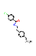 O=C(O)Cc1ccc(CCNC(=O)c2ccc(Cl)cc2)cc1